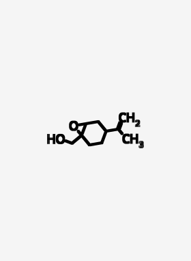 C=C(C)C1CCC2(CO)OC2C1